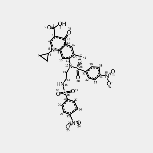 O=C(O)c1cn(C2CC2)c2cc(N(CCNS(=O)(=O)c3ccc([N+](=O)[O-])cc3)S(=O)(=O)c3ccc([N+](=O)[O-])cc3)c(F)cc2c1=O